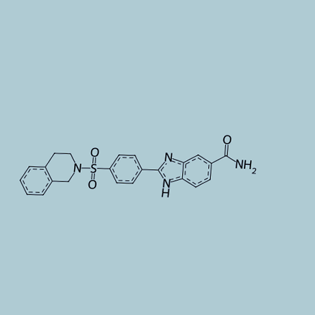 NC(=O)c1ccc2[nH]c(-c3ccc(S(=O)(=O)N4CCc5ccccc5C4)cc3)nc2c1